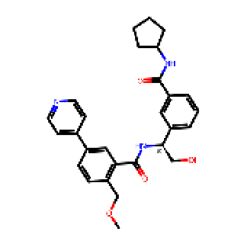 COCc1ccc(-c2ccncc2)cc1C(=O)N[C@H](CO)c1cccc(C(=O)NC2CCCC2)c1